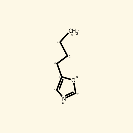 [CH2]CCCc1cnco1